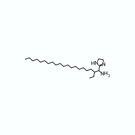 CCCCCCCCCCCCCCCCCCC(CC)C(N)C1=NCCN1